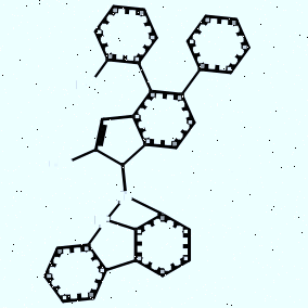 CCCC1=Cc2c(ccc(-c3ccccc3)c2-c2ccccc2C)[CH]1[Zr+2]1[c]2cccc3c2[SiH]1c1ccccc1-3.[Cl-].[Cl-]